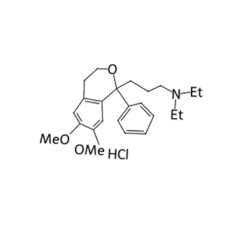 CCN(CC)CCCC1(c2ccccc2)OCCc2cc(OC)c(OC)cc21.Cl